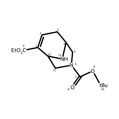 CCOC(=O)C1=CCC2CN(C(=O)OC(C)(C)C)CC1N2